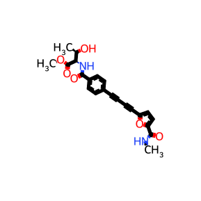 CNC(=O)c1ccc(C#CC#Cc2ccc(C(=O)N[C@H](C(=O)OC)[C@@H](C)O)cc2)o1